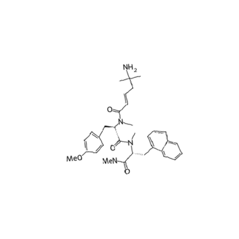 CNC(=O)[C@@H](Cc1cccc2ccccc12)N(C)C(=O)[C@@H](Cc1ccc(OC)cc1)N(C)C(=O)/C=C/CC(C)(C)N